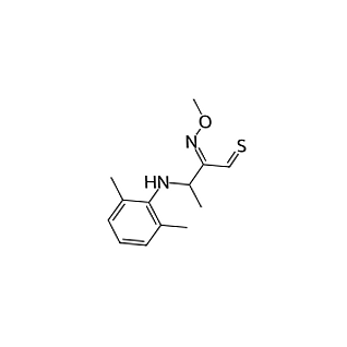 CON=C(C=S)C(C)Nc1c(C)cccc1C